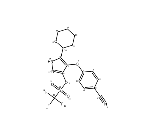 N#Cc1ccc(Oc2c(OS(=O)(=O)C(F)(F)F)n[nH]c2C2CCCCO2)cc1